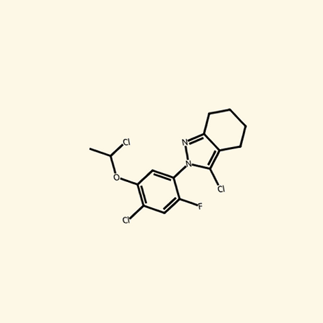 CC(Cl)Oc1cc(-n2nc3c(c2Cl)CCCC3)c(F)cc1Cl